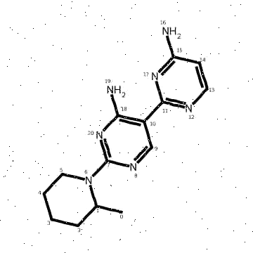 CC1CCCCN1c1ncc(-c2nccc(N)n2)c(N)n1